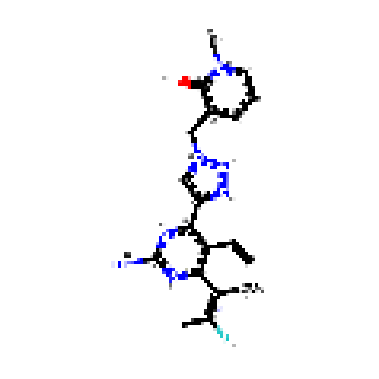 C=Cc1c(/C(OC)=C(\C)F)nc(N)nc1-c1cn(Cc2cccn(C(C)C)c2=O)nn1